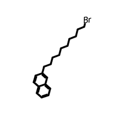 BrCCCCCCCCCCc1ccc2ccccc2c1